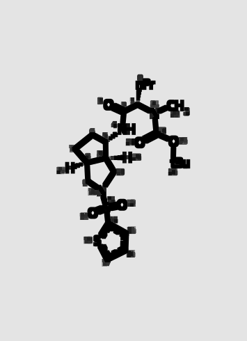 CCC[C@@H](C(=O)N[C@H]1CC[C@@H]2CN(S(=O)(=O)c3cccs3)C[C@@H]21)N(C)C(=O)OC(C)(C)C